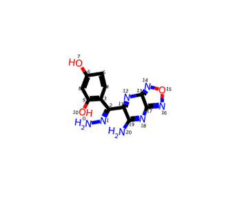 NN=C(c1ccc(O)cc1O)c1nc2nonc2nc1N